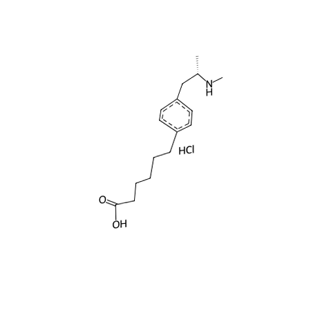 CN[C@@H](C)Cc1ccc(CCCCCC(=O)O)cc1.Cl